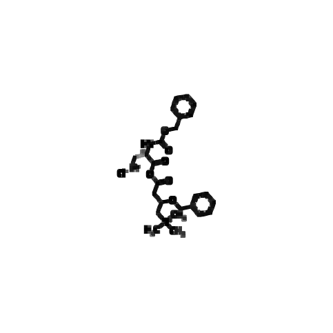 CC(C)C[C@H](NC(=O)OCc1ccccc1)C(=O)OC(=O)CC(C[N+](C)(C)C)OCc1ccccc1.[Cl-]